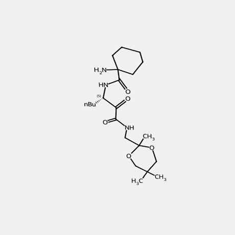 CCCC[C@H](NC(=O)C1(N)CCCCC1)C(=O)C(=O)NCC1(C)OCC(C)(C)CO1